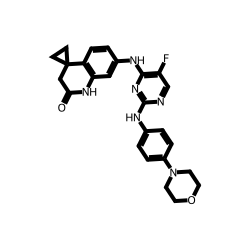 O=C1CC2(CC2)c2ccc(Nc3nc(Nc4ccc(N5CCOCC5)cc4)ncc3F)cc2N1